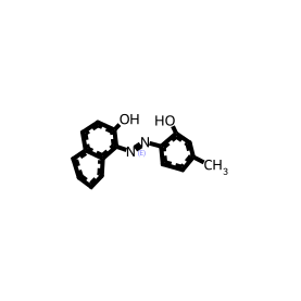 Cc1ccc(/N=N/c2c(O)ccc3ccccc23)c(O)c1